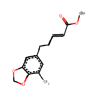 CC(C)(C)OC(=O)/C=C/CCc1cc2c(c(C(F)(F)F)c1)OCO2